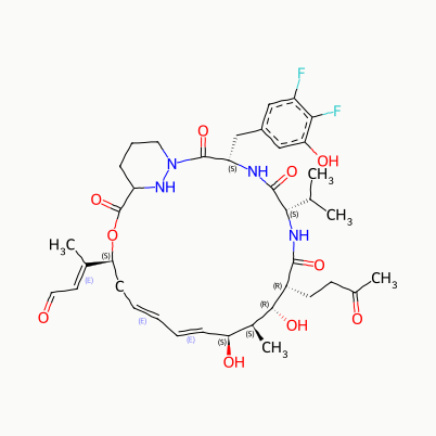 CC(=O)CC[C@H]1C(=O)N[C@@H](C(C)C)C(=O)N[C@@H](Cc2cc(O)c(F)c(F)c2)C(=O)N2CCCC(N2)C(=O)O[C@H](/C(C)=C/C=O)C/C=C/C=C/[C@H](O)[C@H](C)[C@H]1O